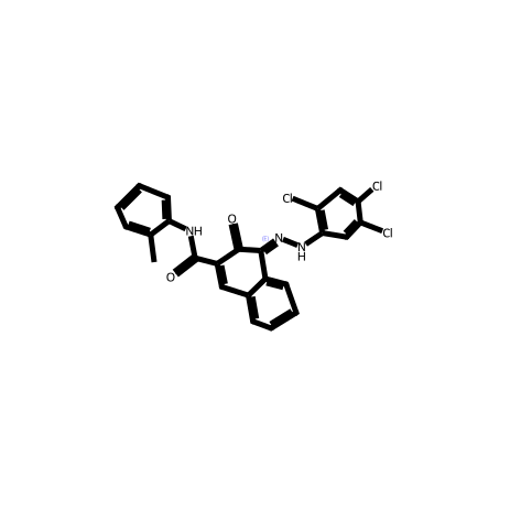 Cc1ccccc1NC(=O)C1=Cc2ccccc2/C(=N\Nc2cc(Cl)c(Cl)cc2Cl)C1=O